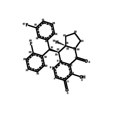 O=C1c2c(O)c(=O)cnn2[C@@H](C(c2cccc(F)c2)c2ccccc2F)[C@H]2CCCN12